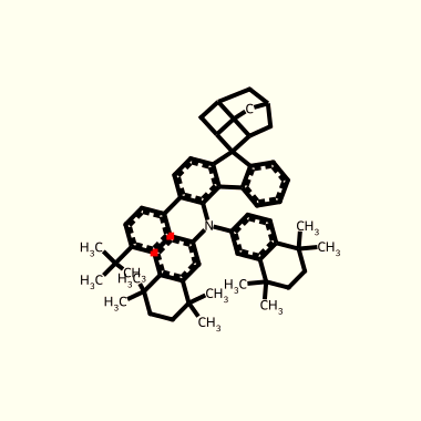 CC(C)(C)c1ccc(-c2ccc3c(c2N(c2ccc4c(c2)C(C)(C)CCC4(C)C)c2ccc4c(c2)C(C)(C)CCC4(C)C)-c2ccccc2C32C3CC4CC5CC2C53C4)cc1